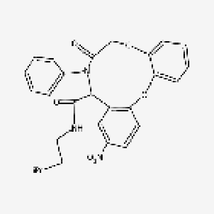 CC(C)CCNC(=O)C1c2cc([N+](=O)[O-])ccc2Oc2ccccc2CCC(=O)N1c1ccccc1